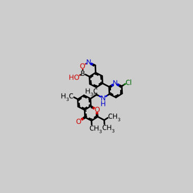 Cc1cc([C@H](C)Nc2ccc(Cl)nc2-c2ccc3c(c2)C=NOB3O)c2oc(C(C)C)c(C)c(=O)c2c1